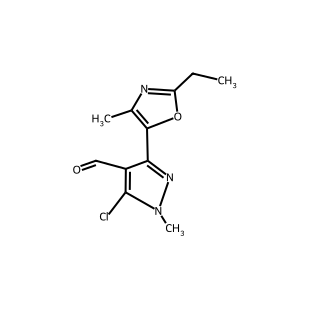 CCc1nc(C)c(-c2nn(C)c(Cl)c2C=O)o1